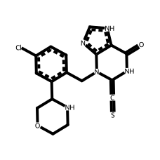 O=C1NC(=C=S)N(Cc2ccc(Cl)cc2C2COCCN2)c2nc[nH]c21